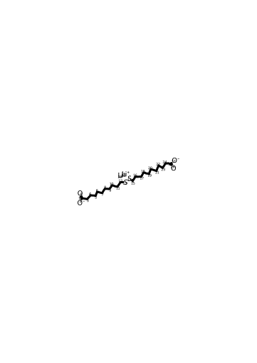 O=C([O-])CCCCCCCCCCSSCCCCCCCCCCC(=O)[O-].[Li+].[Li+]